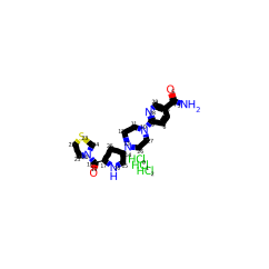 Cl.Cl.Cl.NC(=O)c1ccc(N2CCN([C@@H]3CN[C@H](C(=O)N4CCSC4)C3)CC2)nc1